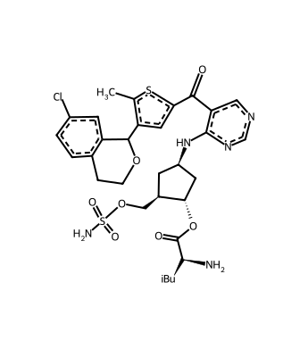 CC[C@H](C)[C@H](N)C(=O)O[C@H]1C[C@H](Nc2ncncc2C(=O)c2cc(C3OCCc4ccc(Cl)cc43)c(C)s2)C[C@@H]1COS(N)(=O)=O